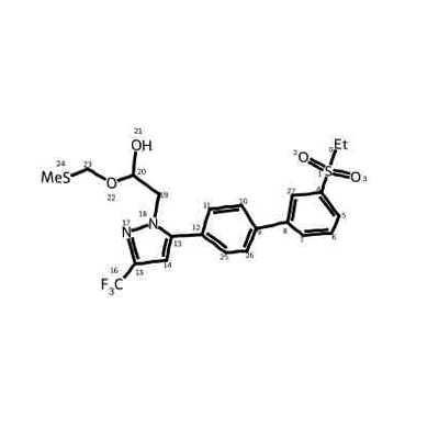 CCS(=O)(=O)c1cccc(-c2ccc(-c3cc(C(F)(F)F)nn3CC(O)OCSC)cc2)c1